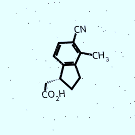 Cc1c(C#N)ccc2c1CC[C@@H]2CC(=O)O